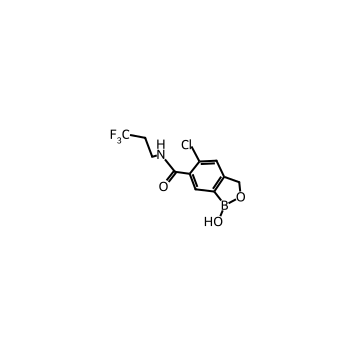 O=C(NCCC(F)(F)F)c1cc2c(cc1Cl)COB2O